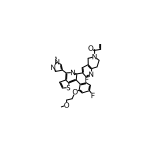 C=CC(=O)N1CCc2ncc(-c3nc(-c4cnn(C)c4)c4ccsc4c3-c3c(F)cc(F)cc3OCCOC)cc2C1